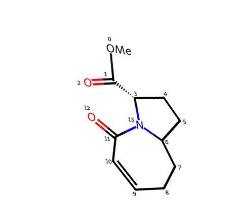 COC(=O)[C@@H]1CCC2CCC=CC(=O)N21